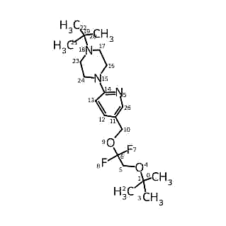 CC(C)(C)OCC(F)(F)OCc1ccc(N2CCN(C(C)(C)C)CC2)nc1